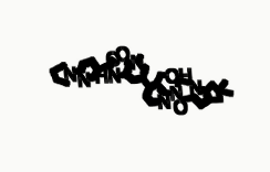 Cn1cc(-c2ccnc(N3CCn4c(cc5c4CC(C)(C)C5)C3=O)c2CO)cc(NC(=O)c2ccc(N3CCCC3)nc2)c1=O